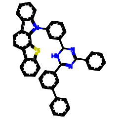 c1ccc(C2=NC(c3cccc(-n4c5ccccc5c5ccc6c7ccccc7sc6c54)c3)NC(c3cccc(-c4ccccc4)c3)=N2)cc1